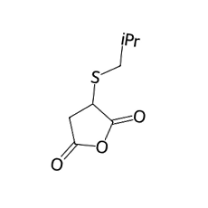 CC(C)CSC1CC(=O)OC1=O